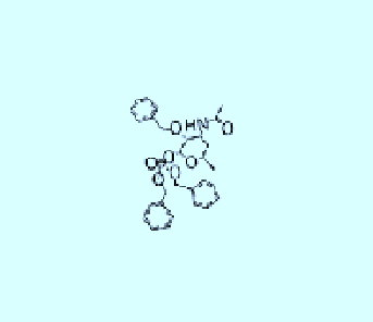 CC(=O)N[C@H]1C[C@@H](C)O[C@H](OP(=O)(OCc2ccccc2)OCc2ccccc2)[C@@H]1OCc1ccccc1